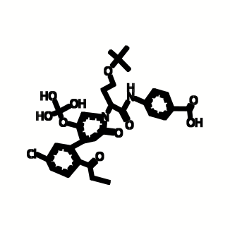 CCC(=O)c1ccc(Cl)cc1-c1cc(=O)n(C(CCOC(C)(C)C)C(=O)Nc2ccc(C(=O)O)cc2)cc1OC(O)(O)O